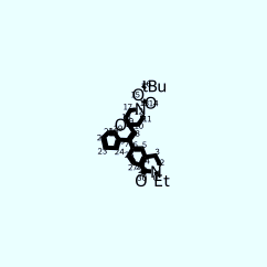 CCN1CCc2cc(C3=CC4(CCN(C(=O)OC(C)(C)C)CC4)Oc4ccccc43)ccc2C1=O